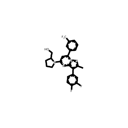 Cc1nn2c(-c3cccc(C(F)(F)F)c3)cc(N3CCCC3CO)nc2c1-c1ccc(F)c(F)c1